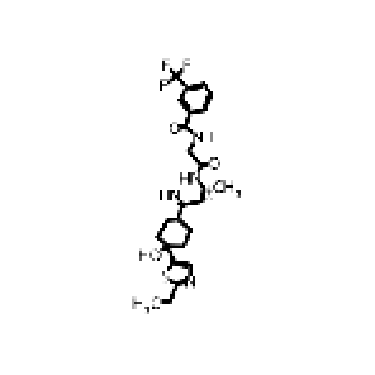 CCc1ncc(C2(O)CCC(C(=N)C[C@@H](C)NC(=O)CNC(=O)c3cccc(C(F)(F)F)c3)CC2)s1